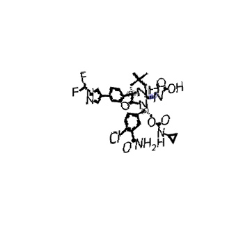 CC(C)(C)C[C@]1(c2ccc(-c3cnn(C(F)F)c3)cc2)N/C(=N\C(=O)O)N([C@H](COC(=O)NC2CC2)c2ccc(Cl)c(C(N)=O)c2)C1=O